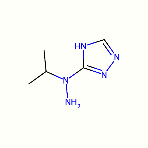 CC(C)N(N)c1nnc[nH]1